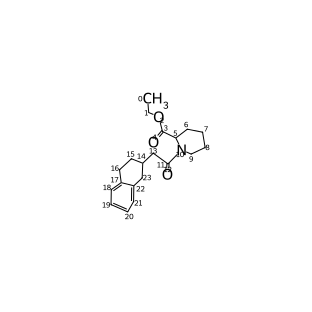 CCOC(=O)C1CCCCN1C(=O)CC1CCc2ccccc2C1